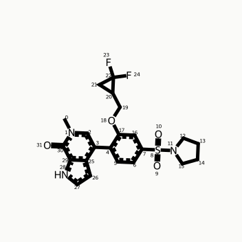 Cn1cc(-c2ccc(S(=O)(=O)N3CCCC3)cc2OCC2CC2(F)F)c2cc[nH]c2c1=O